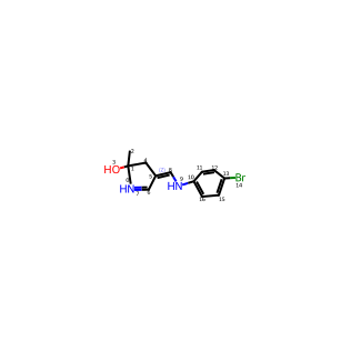 CC(C)(O)C/C(C=N)=C/Nc1ccc(Br)cc1